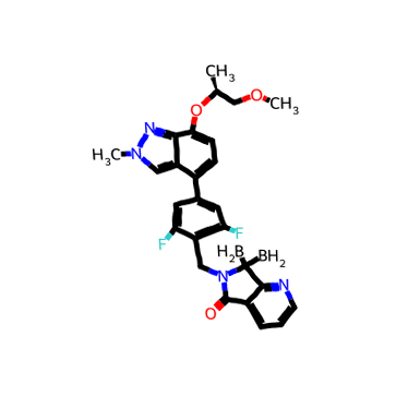 BC1(B)c2ncccc2C(=O)N1Cc1c(F)cc(-c2ccc(O[C@@H](C)COC)c3nn(C)cc23)cc1F